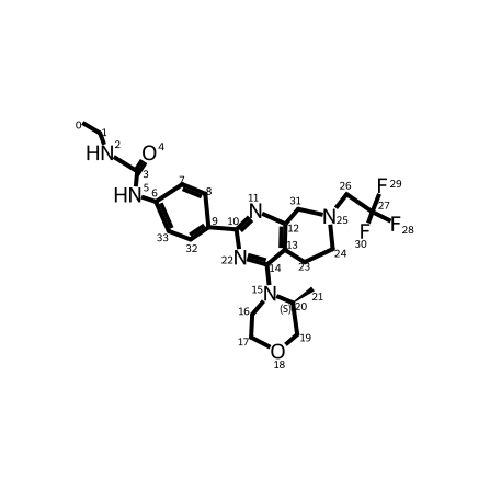 CCNC(=O)Nc1ccc(-c2nc3c(c(N4CCOC[C@@H]4C)n2)CCN(CC(F)(F)F)C3)cc1